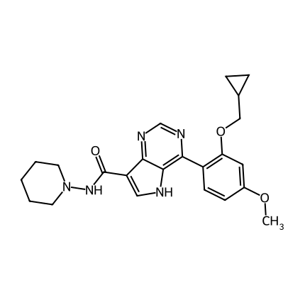 COc1ccc(-c2ncnc3c(C(=O)NN4CCCCC4)c[nH]c23)c(OCC2CC2)c1